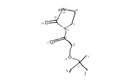 CC(C)(C)OCC(=O)N1CCNC1=O